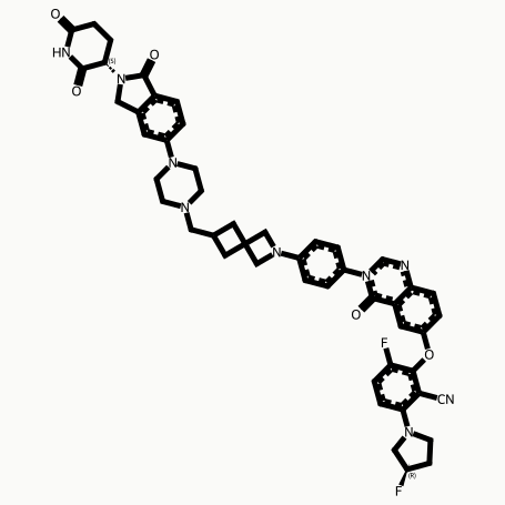 N#Cc1c(N2CC[C@@H](F)C2)ccc(F)c1Oc1ccc2ncn(-c3ccc(N4CC5(CC(CN6CCN(c7ccc8c(c7)CN([C@H]7CCC(=O)NC7=O)C8=O)CC6)C5)C4)cc3)c(=O)c2c1